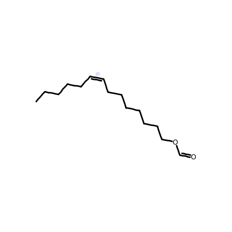 CCCCC/C=C\CCCCCCCOC=O